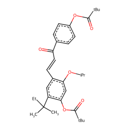 CCC(C)(C)c1cc(/C=C/C(=O)c2ccc(OC(=O)C(C)(C)C)cc2)c(OC(C)C)cc1OC(=O)C(C)(C)C